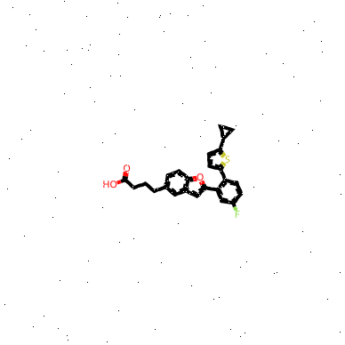 O=C(O)CCCc1ccc2oc(-c3cc(F)ccc3-c3ccc(C4CC4)s3)cc2c1